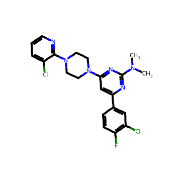 CN(C)c1nc(-c2ccc(F)c(Cl)c2)cc(N2CCN(c3ncccc3Cl)CC2)n1